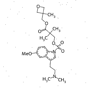 COc1ccc2c(c1)c(CCN(C)C)cn2S(=O)(=O)OCC(C)(C)C(=O)OCC1(C)COC1